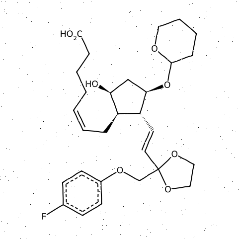 O=C(O)CCC/C=C\C[C@@H]1[C@@H](/C=C/C2(COc3ccc(F)cc3)OCCO2)[C@H](OC2CCCCO2)C[C@@H]1O